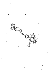 COCC[C@@H]1N=C(c2ccc(C#CCOC3CCN(C(=O)OC(C)(C)C)CC3)cc2)c2c(sc(C)c2C)-n2c(C)nnc21